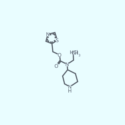 CCN(C(=O)OCc1cncs1)C1CCNCC1.Cl